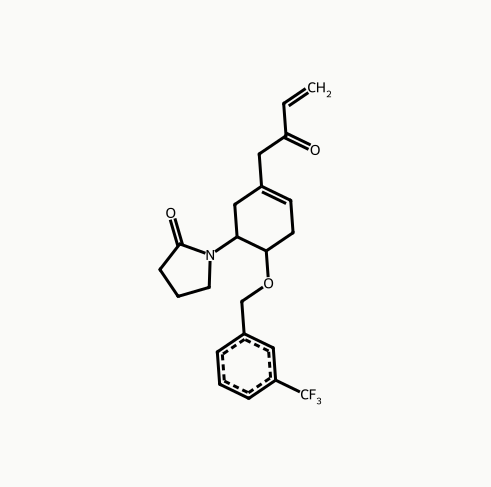 C=CC(=O)CC1=CCC(OCc2cccc(C(F)(F)F)c2)C(N2CCCC2=O)C1